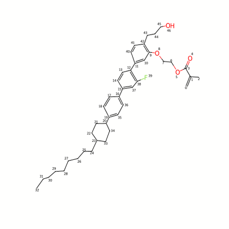 C=C(C)C(=O)OCCOc1cc(-c2ccc(-c3ccc(C4CCC(CCCCCCCCC)CC4)cc3)cc2F)ccc1CCCO